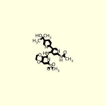 CC(=O)Nc1cc(Nc2nc(S(C)(=O)=O)cc3c2OCCO3)c(-c2ccc(C(C)(C)O)cn2)cn1